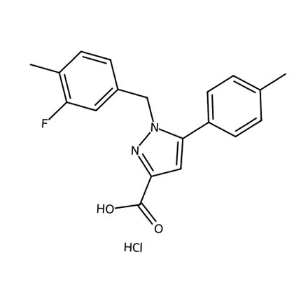 Cc1ccc(-c2cc(C(=O)O)nn2Cc2ccc(C)c(F)c2)cc1.Cl